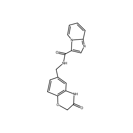 O=C1COc2ccc(CNC(=O)c3cnc4ccccn34)cc2N1